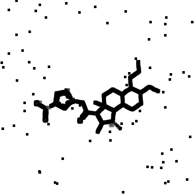 CCCC1C(CC)CCC2C1CCC1(C)C(C(=O)Cn3cc([N+](=O)[O-])cn3)C(C)[C@@H](C)C21